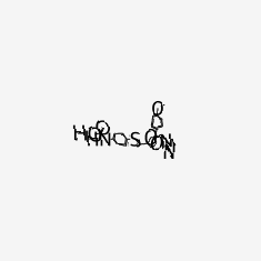 COc1ccc(C2(Cn3ccnc3)OCC(CSc3ccc(NC(=O)O)cc3)O2)cc1